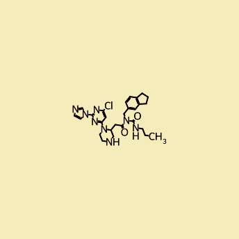 CCCNC(=O)N(Cc1ccc2c(c1)CCC2)C(=O)CC1CNCCN1c1cc(Cl)nc(-n2ccnc2)n1